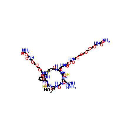 N=C(N)NCCC[C@@H]1NC(=O)[C@H](CS)NC(=O)[C@H](CCCCNC(=O)COCC(=O)NCCOCCOCCOCCOCCOCCNC(=O)CON)NC(=O)CCCSC[C@@H](C(=O)NCCOCCOCCOCCNC(=O)COCC(N)=O)NC(=O)[C@H](Cc2ccccc2)NC(=O)[C@H](CS)NC(=O)[C@H](CC(=O)O)NC(=O)CNC1=O